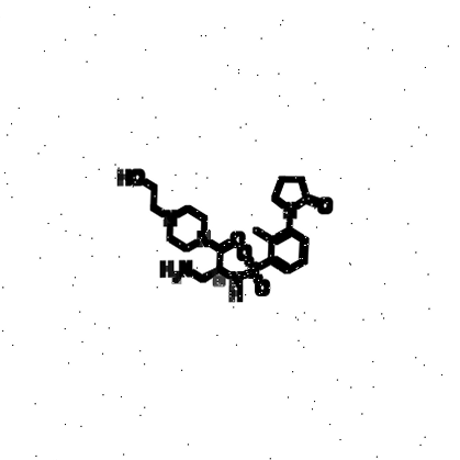 Cc1c(N2CCCC2=O)cccc1S(=O)(=O)N[C@@H](CN)C(=O)N1CCN(CCO)CC1